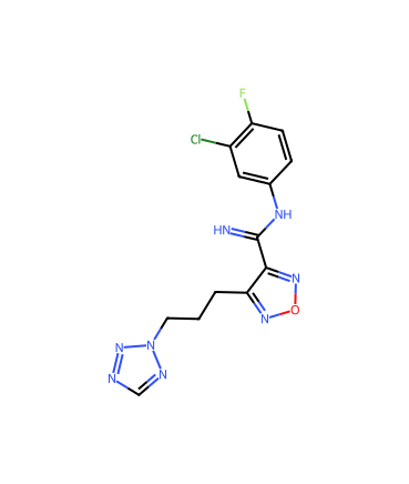 N=C(Nc1ccc(F)c(Cl)c1)c1nonc1CCCn1ncnn1